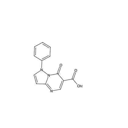 O=C(O)c1cnc2ccn(-c3ccccc3)n2c1=O